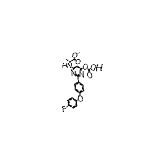 COC(=O)[C@H](C)Nc1cc(OC(=O)O)nc(-c2ccc(Oc3ccc(F)cc3)cc2)n1